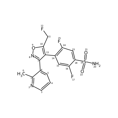 Cc1ncccc1-c1noc(CF)c1-c1cc(F)c(S(N)(=O)=O)cc1F